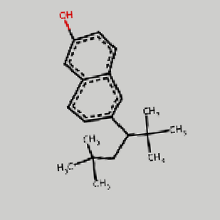 CC(C)(C)CC(c1ccc2cc(O)ccc2c1)C(C)(C)C